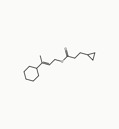 C/C(=C\COC(=O)CCC1CC1)C1CCCCC1